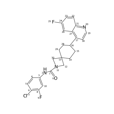 O=C(Nc1ccc(Cl)c(F)c1)N1CC2(CCC(c3ccnc4ccc(F)cc34)CC2)C1